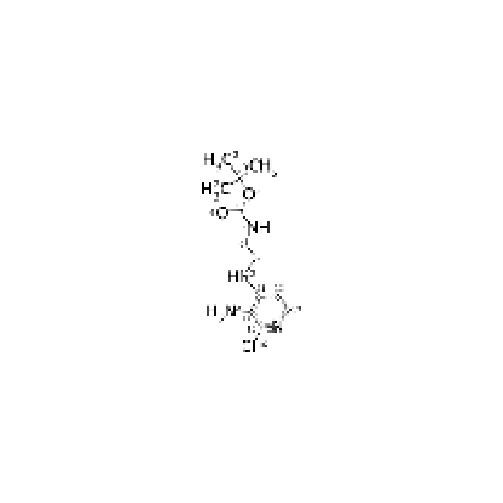 CC(C)(C)OC(=O)NCCNc1ccnc(Cl)c1N